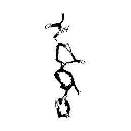 CC(=O)NC[C@H]1CN(c2ccc(-n3cncn3)c(F)c2)C(=O)O1